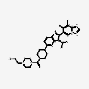 Cc1c(-c2[nH]c3ccc(C4CCN(C(=O)N5CCN(CCO)CC5)CC4)cc3c2C(C)C)cn2ncnc2c1C